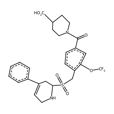 O=C(O)C1CCN(C(=O)c2ccc(CS(=O)(=O)C3CC(c4ccccc4)=CCN3)c(OC(F)(F)F)c2)CC1